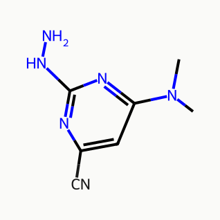 CN(C)c1cc(C#N)nc(NN)n1